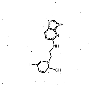 OC1C=CC(F)=CN1CCNc1ccc2nc[nH]c2n1